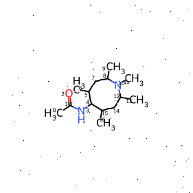 CC(=O)NC1C(C)CC(C)N(C)C(C)CC1C